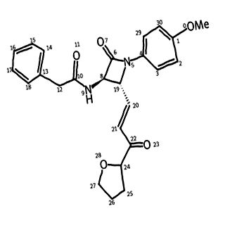 COc1ccc(N2C(=O)[C@H](NC(=O)Cc3ccccc3)[C@H]2C=CC(=O)C2CCCO2)cc1